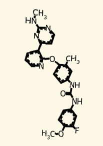 CNc1nccc(-c2cccnc2Oc2ccc(NC(=O)Nc3ccc(OC)c(F)c3)cc2C)n1